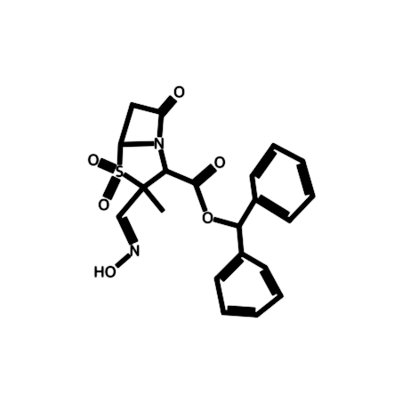 CC1(/C=N/O)C(C(=O)OC(c2ccccc2)c2ccccc2)N2C(=O)CC2S1(=O)=O